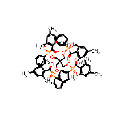 Cc1cc(C)c(C(=O)P(=O)(OCC(COP(=O)(C(=O)c2c(C)cc(C)cc2C)c2ccccc2)(COP(=O)(C(=O)c2c(C)cc(C)cc2C)c2ccccc2)COP(=O)(C(=O)c2c(C)cc(C)cc2C)c2ccccc2)c2ccccc2)c(C)c1